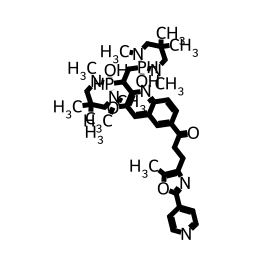 COc1cc2cc(C(=O)CCc3nc(-c4ccncc4)oc3C)ccc2nc1C(C[PH]1(O)N(C)CC(C)(C)CN1C)[PH]1(O)N(C)CC(C)(C)CN1C